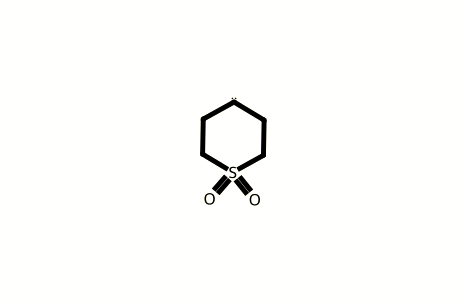 O=S1(=O)CC[C]CC1